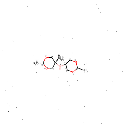 C[C@H]1OC[C@@](C)(B[C@]2(C)CO[C@H](C)OC2)CO1